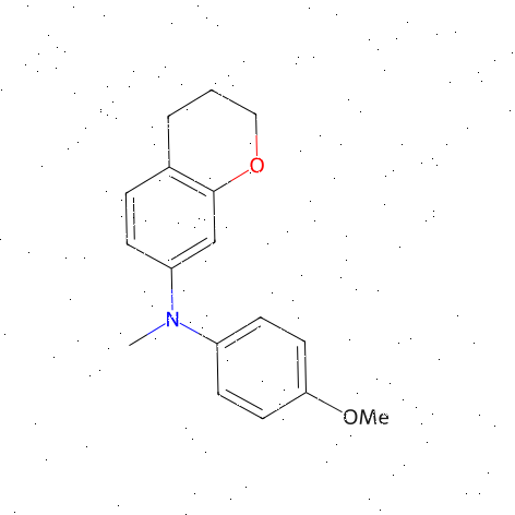 COc1ccc(N(C)c2ccc3c(c2)OCCC3)cc1